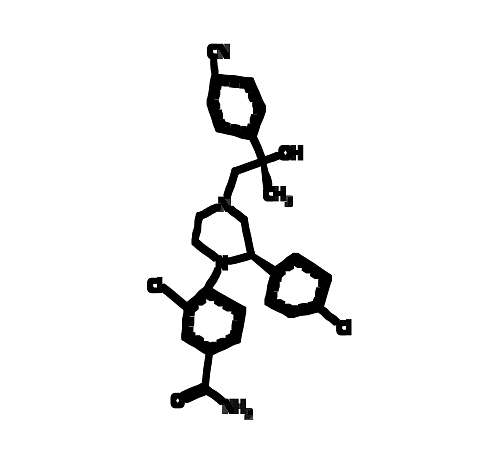 C[C@@](O)(CN1CCN(c2ccc(C(N)=O)cc2Cl)[C@H](c2ccc(Cl)cc2)C1)c1ccc(C#N)cc1